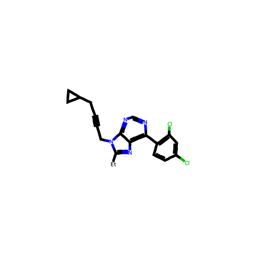 CCc1nc2c(-c3ccc(Cl)cc3Cl)ncnc2n1CC#CCC1CC1